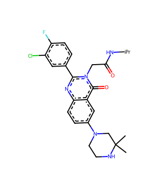 CC(C)NC(=O)Cn1c(-c2ccc(F)c(Cl)c2)nc2ccc(N3CCNC(C)(C)C3)cc2c1=O